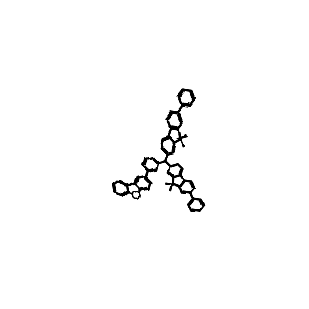 CC1(C)c2cc(-c3ccccc3)ccc2-c2ccc(C(c3cccc(-c4ccc5oc6ccccc6c5c4)c3)c3ccc4c(c3)C(C)(C)c3cc(-c5ccccc5)ccc3-4)cc21